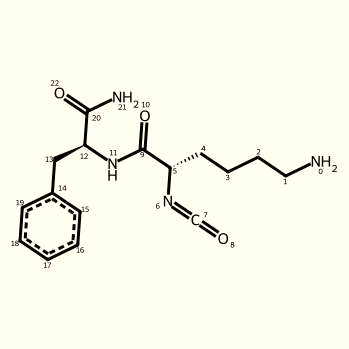 NCCCC[C@H](N=C=O)C(=O)N[C@@H](Cc1ccccc1)C(N)=O